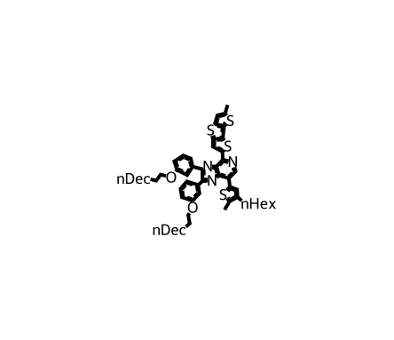 CCCCCCCCCCCCOc1cccc(-c2nc3c(-c4cc(CCCCCC)c(C)s4)cnc(-c4cc5sc6cc(C)sc6c5s4)c3nc2-c2cccc(OCCCCCCCCCCCC)c2)c1